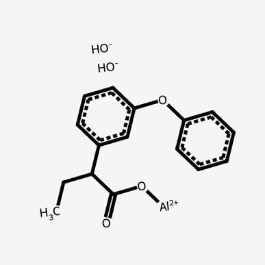 CCC(C(=O)[O][Al+2])c1cccc(Oc2ccccc2)c1.[OH-].[OH-]